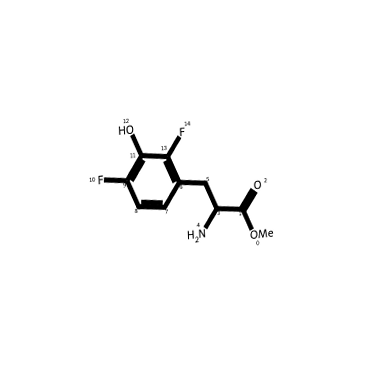 COC(=O)C(N)Cc1ccc(F)c(O)c1F